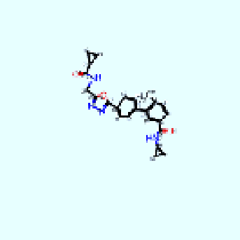 Cc1ccc(C(=O)NC2CC2)cc1-c1ccc(-c2nnc(CNC(=O)C3CC3)o2)cc1